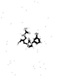 O=C(O)NC/C(=C/F)Cn1ncn(-c2cccc(Br)c2)c1=O